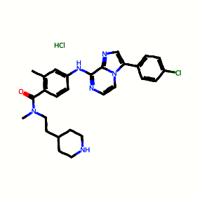 Cc1cc(Nc2nccn3c(-c4ccc(Cl)cc4)cnc23)ccc1C(=O)N(C)CCC1CCNCC1.Cl